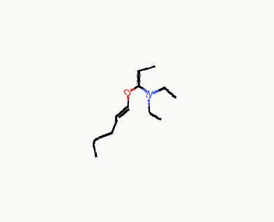 CCCC=COC(CC)N(CC)CC